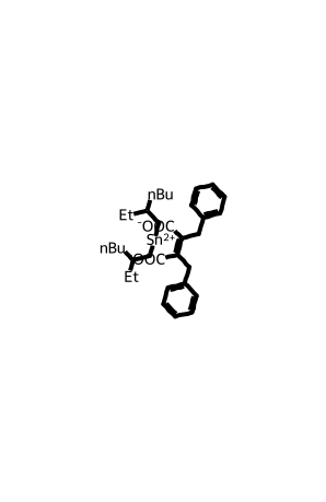 CCCCC(CC)[CH2][Sn+2][CH2]C(CC)CCCC.O=C([O-])/C(Cc1ccccc1)=C(/Cc1ccccc1)C(=O)[O-]